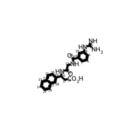 N=C(N)Nc1cccc(C(=O)NCC(=O)NC(CC(=O)O)c2ccc3ccccc3c2)c1